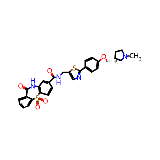 CN1CC[C@@H](COc2ccc(-c3ncc(CNC(=O)c4ccc5c(c4)NC(=O)c4ccccc4S5(=O)=O)s3)cc2)C1